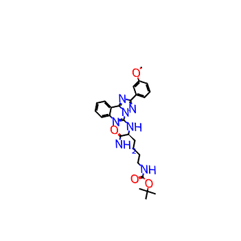 COc1cccc(-c2nc3c4ccccc4nc(N[C@@H](CCCCNC(=O)OC(C)(C)C)C(N)=O)n3n2)c1